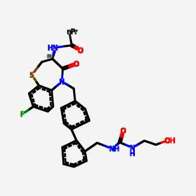 CCCC(=O)N[C@@H]1CSc2cc(F)ccc2N(Cc2ccc(-c3ccccc3CNC(=O)NCCO)cc2)C1=O